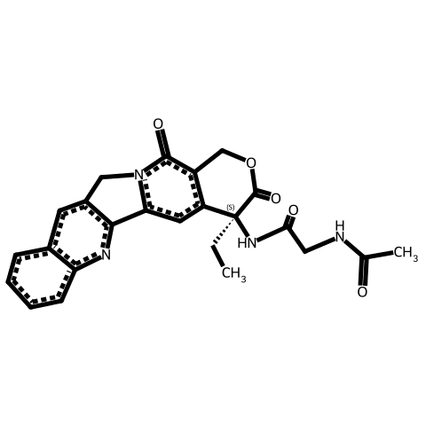 CC[C@@]1(NC(=O)CNC(C)=O)C(=O)OCc2c1cc1n(c2=O)Cc2cc3ccccc3nc2-1